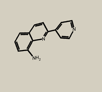 Nc1cccc2ccc(-c3ccncc3)nc12